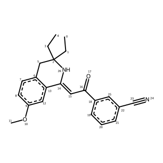 CCC1(CC)Cc2ccc(OC)cc2C(=CC(=O)c2cccc(C#N)c2)N1